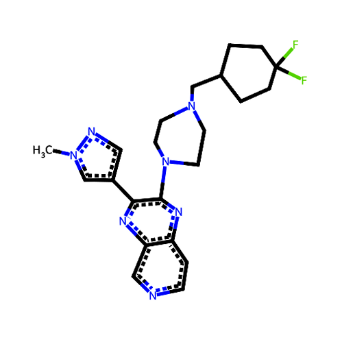 Cn1cc(-c2nc3cnccc3nc2N2CCN(CC3CCC(F)(F)CC3)CC2)cn1